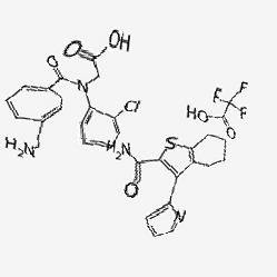 NC(=O)c1sc2c(c1-c1ccccn1)CCCC2.NCc1cccc(C(=O)N(CC(=O)O)c2ccccc2Cl)c1.O=C(O)C(F)(F)F